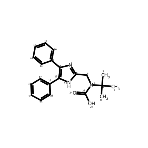 CC(C)(C)N(Cc1nc(-c2ccccc2)c(-c2ccccc2)[nH]1)C(=O)O